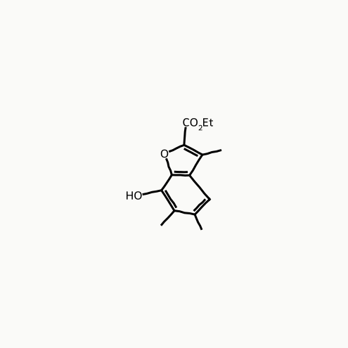 CCOC(=O)c1oc2c(O)c(C)c(C)cc2c1C